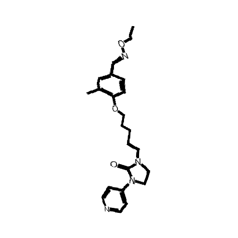 CCON=Cc1ccc(OCCCCCN2CCN(c3ccncc3)C2=O)c(C)c1